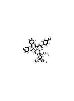 CC1C(CN2C(=O)C(Cc3ccncc3)(Cc3ccncc3)N/C2=C/C(=O)c2ccc(Cl)cc2)CC2CC1C2(C)C